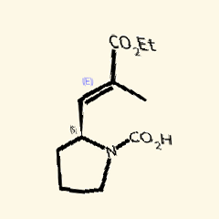 CCOC(=O)/C(C)=C/[C@@H]1CCCN1C(=O)O